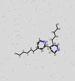 CCCCCCc1ccnc(-c2ccn[c]c2CCCCC)c1